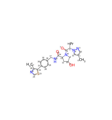 Cc1cnn(C(C(=O)N2CC(O)CC2C(=O)NCc2ccc(-c3scnc3C)cc2)C(C)C)c1